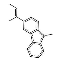 C/C=C(\C)c1ccc2c(c1)c1ccccc1n2C